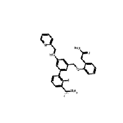 C[C@@H](N)c1cccc(-c2cc(COc3ccccc3CC(=O)O)cc(NCc3ccccn3)c2)c1F